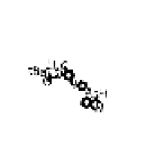 Cc1ccc(CN2CCC([AsH]c3cccc4cnccc34)C2)cc1OCC(=O)OC(C)(C)C